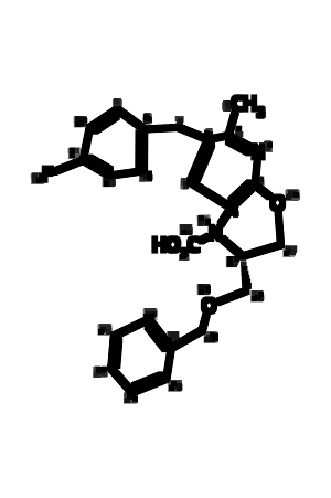 Cc1nc2c(cc1Cc1ccc(F)cc1)N(C(=O)O)[C@@H](COCc1ccccc1)CO2